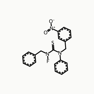 O=[N+]([O-])c1cccc(CN(C(=S)N(F)Cc2ccccc2)c2ccccc2)c1